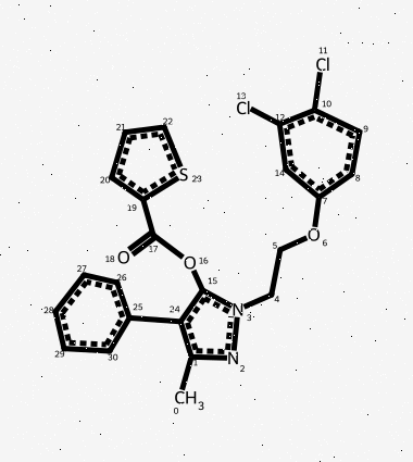 Cc1nn(CCOc2ccc(Cl)c(Cl)c2)c(OC(=O)c2cccs2)c1-c1ccccc1